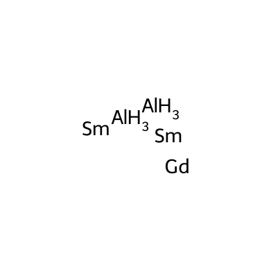 [AlH3].[AlH3].[Gd].[Sm].[Sm]